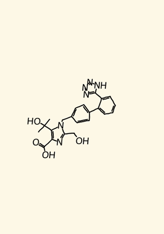 CC(C)(O)c1c(C(=O)O)nc(CO)n1Cc1ccc(-c2ccccc2-c2nnn[nH]2)cc1